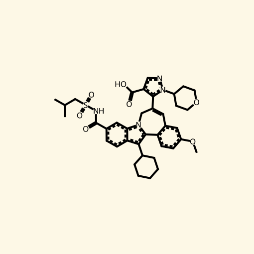 COc1ccc2c(c1)C=C(c1c(C(=O)O)cnn1C1CCOCC1)Cn1c-2c(C2CCCCC2)c2ccc(C(=O)NS(=O)(=O)CC(C)C)cc21